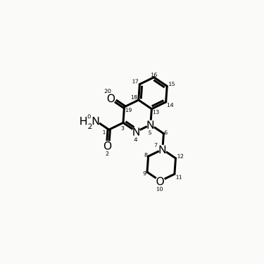 NC(=O)c1nn(CN2CCOCC2)c2ccccc2c1=O